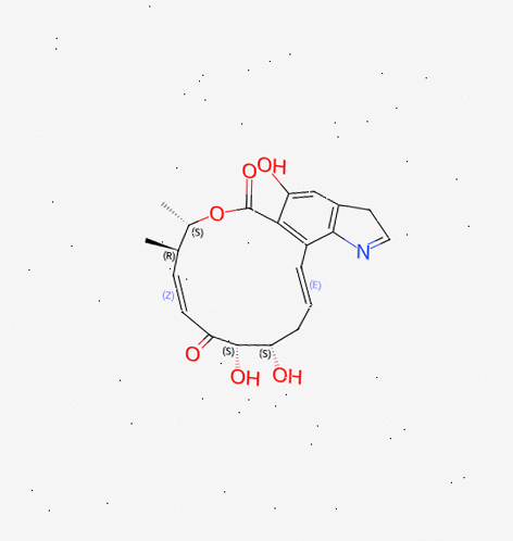 C[C@@H]1/C=C\C(=O)[C@@H](O)[C@@H](O)C/C=C/c2c3c(cc(O)c2C(=O)O[C@H]1C)CC=N3